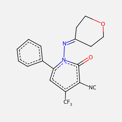 [C-]#[N+]c1c(C(F)(F)F)cc(-c2ccccc2)n(N=C2CCOCC2)c1=O